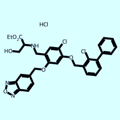 CCOC(=O)C(CO)NCc1cc(Cl)c(OCc2cccc(-c3ccccc3)c2Cl)cc1OCc1ccc2nonc2c1.Cl